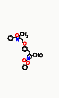 Cc1oc(-c2ccccc2)nc1CCOc1cccc(CC2=C(C=O)CN(C(=O)Oc3ccccc3)C2)c1